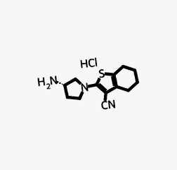 Cl.N#Cc1c(N2CC[C@H](N)C2)sc2c1CCCC2